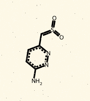 Nc1ccc(C=S(=O)=O)nn1